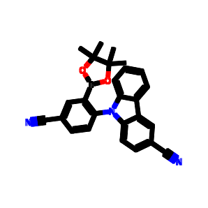 CC1(C)OB(c2cc(C#N)ccc2-n2c3ccccc3c3cc(C#N)ccc32)OC1(C)C